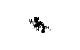 C[C@@H](COc1ccnc2c1[C@H](C)CCC2)C[C@H]1Cc2ccc(OCCCCN(C)CCCc3ccccc3)cc2C12CCC(Nc1cccc(Cl)c1)(C(=O)O)CC2